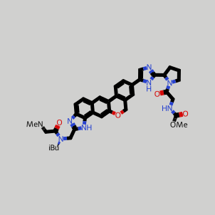 CC[C@H](C)N(Cc1nc2ccc3cc4c(cc3c2[nH]1)OCc1cc(-c2cnc(C3CCCN3C(=O)CNC(=O)OC)[nH]2)ccc1-4)C(=O)CNC